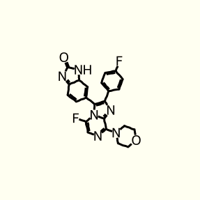 O=C1N=C2C=CC(c3c(-c4ccc(F)cc4)nc4c(N5CCOCC5)ncc(F)n34)=CC2N1